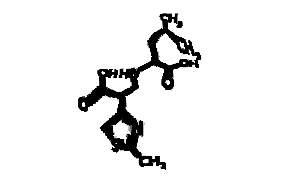 Cc1nc(C(CNC(CC(C)C)C(=O)O)C(=O)O)cs1